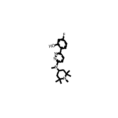 CN(c1ccc(-c2ccc(F)cc2O)nn1)C1CC(C)(C)N(C)C(C)(C)C1